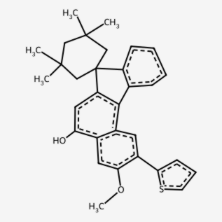 COc1cc2c(O)cc3c(c2cc1-c1cccs1)-c1ccccc1C31CC(C)(C)CC(C)(C)C1